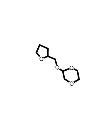 C1COC(COC2COCCO2)C1